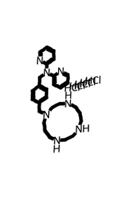 Cl.Cl.Cl.Cl.Cl.c1ccc(N(Cc2ccc(CN3CCCNCCNCCCNCC3)cc2)c2ccccn2)nc1